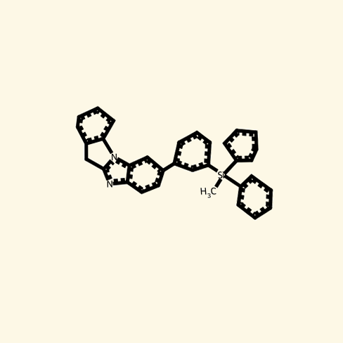 C[Si](c1ccccc1)(c1ccccc1)c1cccc(-c2ccc3nc4n(c3c2)-c2ccccc2C4)c1